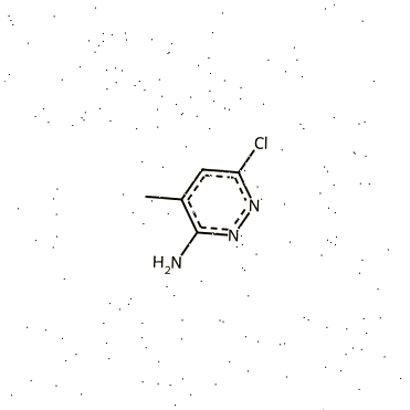 Cc1cc(Cl)nnc1N